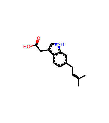 CC(C)=CCc1ccc2c(CC(=O)O)c[nH]c2c1